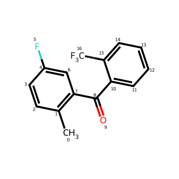 Cc1ccc(F)cc1C(=O)c1ccccc1C(F)(F)F